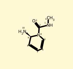 CNC(=O)N1C=CC=C[C@H]1N